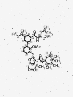 COc1c(CN2O[C@@H](CO)[C@@H]([C@H](C)O)[C@H]2C(=O)N[C@H]2C[C@@H](C)C(C)(C)[C@@H](C)[C@@H]2C)cccc1-c1cc(C(=O)N[C@@H](CC(C)C)CN(C)C)cc(N(C)CC(C)C)c1